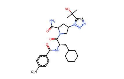 CC(C)(O)c1cnnn1C1CC(C(N)=O)N(C(=O)[C@@H](CC2CCCCC2)NC(=O)c2ccc([N+](=O)[O-])cc2)C1